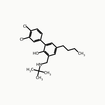 CCCCc1cc(CNC(C)(C)C)c(O)c(-c2ccc(Cl)c(Cl)c2)c1